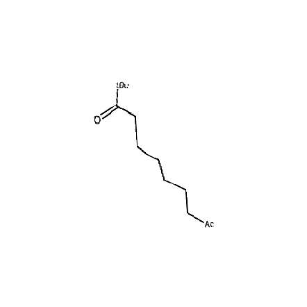 CC(=O)CCCCCCC(=O)C(C)(C)C